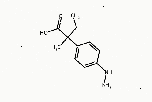 CCC(C)(C(=O)O)c1ccc(NN)cc1